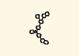 c1ccc(-c2cc(-c3ccc(N(c4ccccc4)c4ccc(-c5ccc6ccccc6c5)cc4)cc3)ccc2-c2ccc3ccccc3c2)cc1